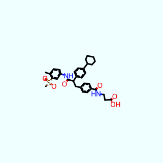 Cc1ccc(NC(=O)C(Cc2ccc(C(=O)NCCC(=O)O)cc2)c2ccc(C3CCCCC3)cc2)cc1S(C)(=O)=O